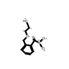 O=C(c1ccccc1COCCO)N(Cl)Cl